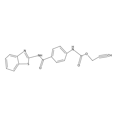 C#CCOC(=O)Nc1ccc(C(=O)Nc2nc3ccccc3s2)cc1